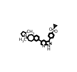 C[C@H]1CCCN1C1(C)CCc2ccc(-c3cnc4[nH]nc(-c5ccc(S(=O)(=O)C6CC6)cc5)c4c3)cc2CC1